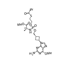 COC(=O)[C@H](C)NP(=O)(OCCSC(=O)C(C)C)OC[C@H]1C[C@@H](n2cnc3c(OC)nc(N)nc32)C1